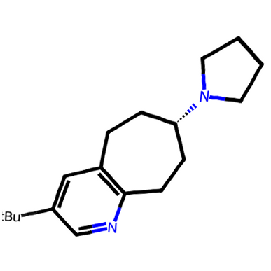 CC(C)(C)c1cnc2c(c1)CC[C@H](N1CCCC1)CC2